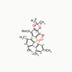 COc1cc(P(=O)(c2cc(C)cc(C)c2)c2cc(C)cc(C)c2)c(Br)c2c1OC(C)(C)O2